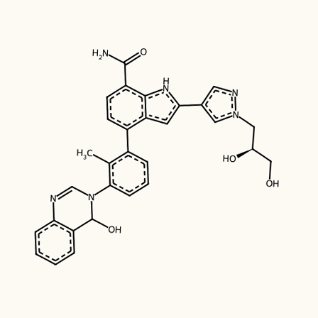 Cc1c(-c2ccc(C(N)=O)c3[nH]c(-c4cnn(C[C@H](O)CO)c4)cc23)cccc1N1C=Nc2ccccc2C1O